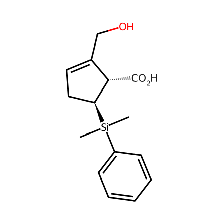 C[Si](C)(c1ccccc1)[C@H]1CC=C(CO)[C@@H]1C(=O)O